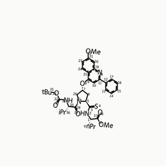 CCC[C@H](NC(=S)[C@@H]1C[C@@H](Oc2cc(-c3ccccc3)nc3cc(OC)ccc23)CN1C(=O)[C@@H](NC(=O)OC(C)(C)C)C(C)C)C(=O)OC